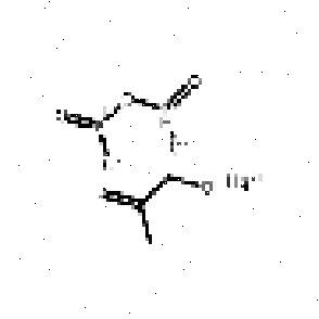 C=C(C)CO.O=[PH]([O-])O[PH](=O)[O-].[Hg+2]